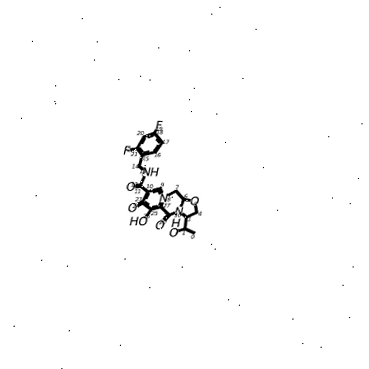 CC(O)C1COC2Cn3cc(C(=O)NCc4ccc(F)cc4F)c(=O)c(O)c3C(=O)N21